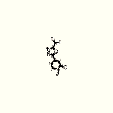 Cn1ccc(-c2nnc(C(F)F)o2)cc1=O